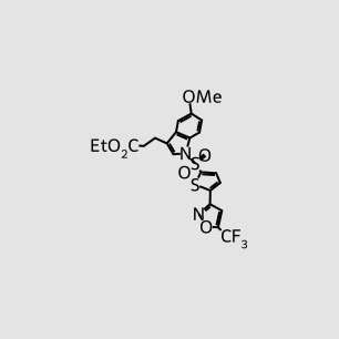 CCOC(=O)CCc1cn(S(=O)(=O)c2ccc(-c3cc(C(F)(F)F)on3)s2)c2ccc(OC)cc12